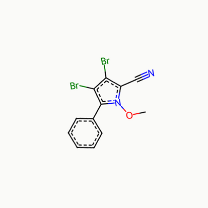 COn1c(C#N)c(Br)c(Br)c1-c1ccccc1